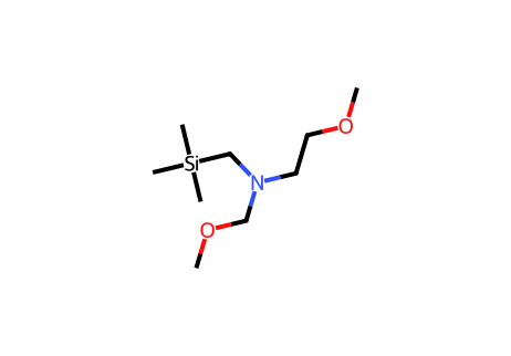 COCCN(COC)C[Si](C)(C)C